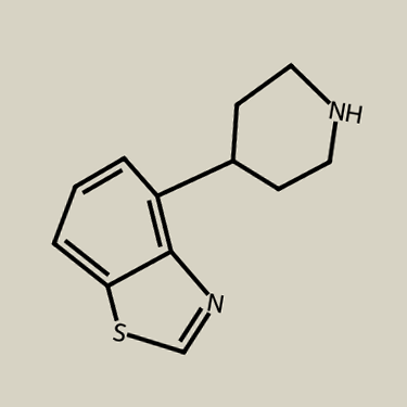 c1cc(C2CCNCC2)c2ncsc2c1